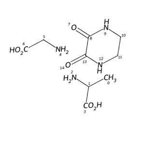 CC(N)C(=O)O.NCC(=O)O.O=C1NCCNC1=O